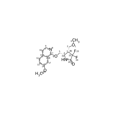 COC[C@H]1[C@@H](COc2nccc3ccc(OC)cc23)NC(=O)C1(F)F